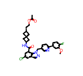 COc1cc(-c2ccc(Cn3ncc4cc(Cl)cc(C(=O)NC5CC6(CC(CCOC(C)=O)C6)C5)c43)cn2)ccc1F